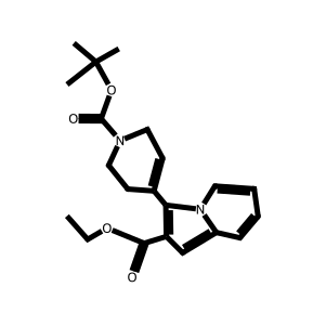 CCOC(=O)c1cc2ccccn2c1C1=CCN(C(=O)OC(C)(C)C)CC1